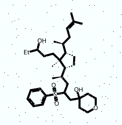 CCC(O)CC[C@]1(C)[C@@H]([C@H](C)CC(CC2(O)CCOCC2)S(=O)(=O)c2ccccc2)CC[C@H]1[C@@H](C)CC=C(C)C